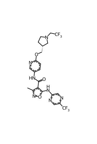 Cc1noc(Nc2cnc(C(F)(F)F)cn2)c1C(=O)Nc1ccc(OC[C@@H]2CCN(CC(F)(F)F)C2)nc1